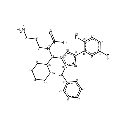 NCCCN(C(=O)I)C(c1cc(-c2cc(F)ccc2F)cn1Cc1ccccc1)C1CCCCC1